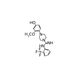 COc1cc(O)ccc1N1CCN(C(=N)Nc2ccccc2C(F)(F)F)CC1